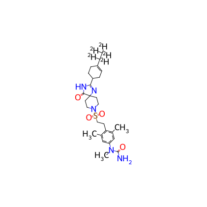 [2H]C([2H])([2H])C([2H])([2H])C1=CCC(C2=NC3(CCN(S(=O)(=O)CCc4c(C)cc(N(C)C(N)=O)cc4C)CC3)C(=O)N2)CC1